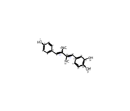 [C-]#[N+]C(=C\c1ccc(O)cc1)/C(=C/c1ccc(O)c(O)c1)[N+]#[C-]